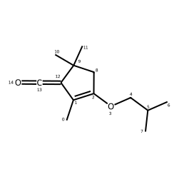 CC1=C(OCC(C)C)CC(C)(C)C1=C=O